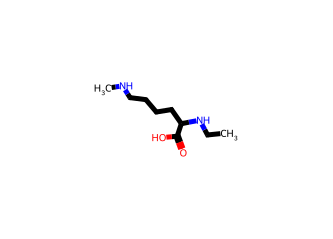 CCNC(CCCCNC)C(=O)O